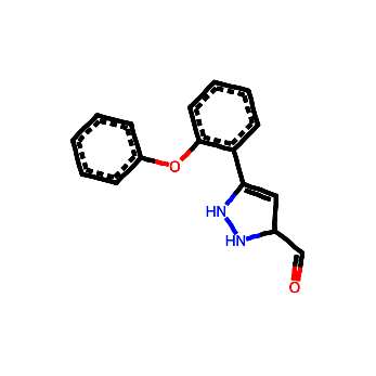 O=CC1C=C(c2ccccc2Oc2ccccc2)NN1